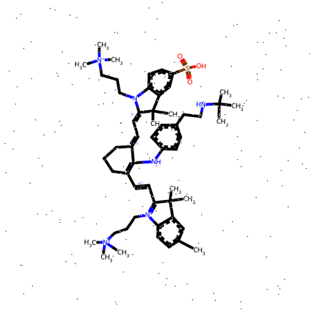 Cc1ccc2c(c1)C(C)(C)C(/C=C/C1=C(Nc3ccc(CCNC(C)(C)C)cc3)C(=C/C=C3/N(CCC[N+](C)(C)C)c4ccc(S(=O)(=O)O)cc4C3(C)C)/CCC1)=[N+]2CCC[N+](C)(C)C